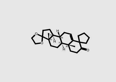 C[C@]12CCC(=O)C3(CCCC3)C1=CC[C@@H]1[C@@H]2CC[C@@]2(C)[C@H]1CCC21OCCO1